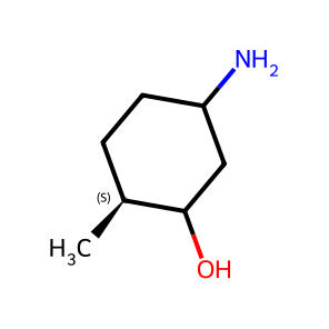 C[C@H]1CCC(N)CC1O